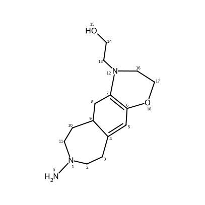 NN1CCC2=CC3=C(CC2CC1)N(CCO)CCO3